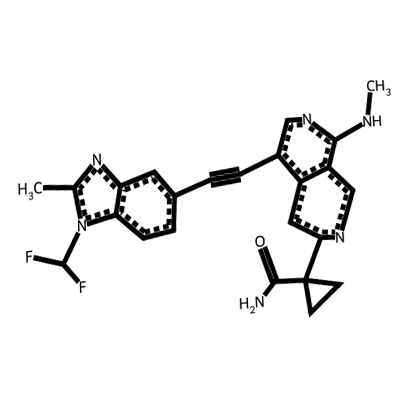 CNc1ncc(C#Cc2ccc3c(c2)nc(C)n3C(F)F)c2cc(C3(C(N)=O)CC3)ncc12